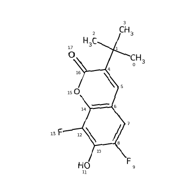 CC(C)(C)c1cc2cc(F)c(O)c(F)c2oc1=O